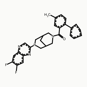 Cc1ccc(-c2ccccc2)c(C(=O)N2CC3CC(C2)CN(c2cnc4cc(F)c(F)cc4n2)C3)c1